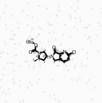 C[C@@H]1C[C@@H](N2Cc3ccc(Cl)nc3C2=O)CN1C(=O)OC(C)(C)C